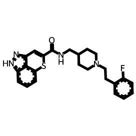 O=C(NCC1CCN(CCc2ccccc2F)CC1)C1=Cc2n[nH]c3cccc(c23)S1